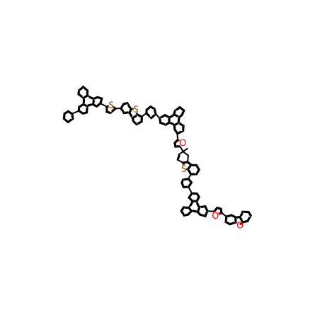 CC1(c2ccc(-c3ccc4c5ccccc5c5cc(-c6cccc(-c7cccc8c7sc7ccc(-c9ccc(-c%10ccc%11c%12ccccc%12c%12cc(-c%13ccccc%13)ccc%12c%11c%10)s9)cc78)c6)ccc5c4c3)o2)C=Cc2sc3c(-c4cccc(-c5ccc6c(c5)c5ccccc5c5ccc(-c7ccc(-c8ccc9oc%10ccccc%10c9c8)o7)cc56)c4)cccc3c2C1